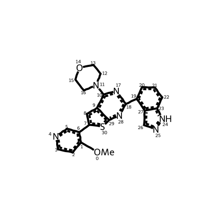 COc1ccncc1-c1cc2c(N3CCOCC3)nc(-c3cccc4[nH]ncc34)nc2s1